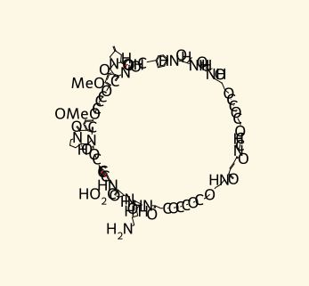 C=C1C[C@H]2C(O)N3C(=O)OCc4ccc(cc4)NC(=O)[C@H](C)NC(=O)[C@H](C)NC(=O)CCOCCOCCOCCNC(=O)/C=C\C(=O)NCCOCCOCCOCCC(=O)N[C@@H](CCCCN)C(=O)N[C@@H](CC(=O)O)C(=O)Nc4ccc(cc4)COC(=O)N4C[C@@H]5CCCN5C(=O)c5cc(OC)c(cc54)OCCCOc4cc3c(cc4OC)C(=O)N2C1